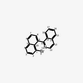 Brc1cccc2cccc(-c3nccc4ccccc34)c12